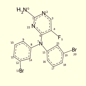 Nc1ncc(F)c(N(c2cccc(Br)c2)c2cccc(Br)c2)n1